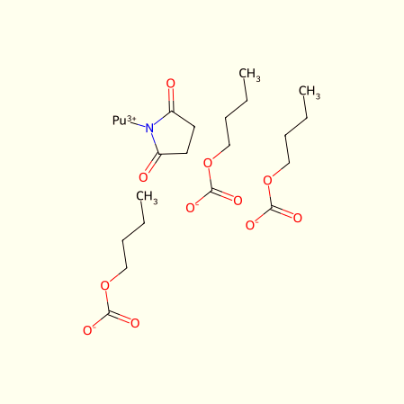 CCCCOC(=O)[O-].CCCCOC(=O)[O-].CCCCOC(=O)[O-].O=C1CCC(=O)[N]1[Pu+3]